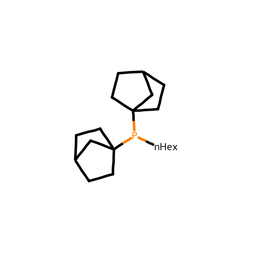 CCCCCCP(C12CCC(CC1)C2)C12CCC(CC1)C2